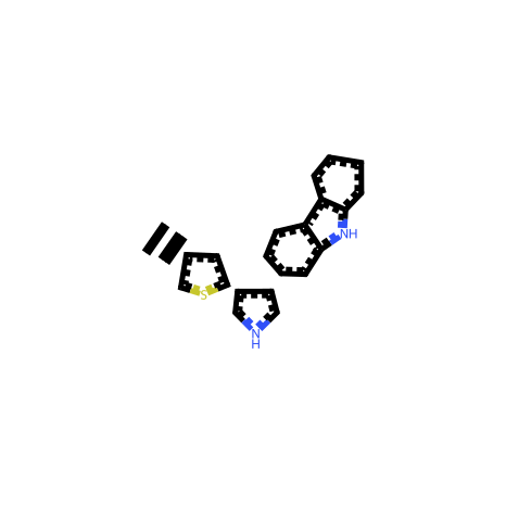 C#C.C=C.c1cc[nH]c1.c1ccc2c(c1)[nH]c1ccccc12.c1ccsc1